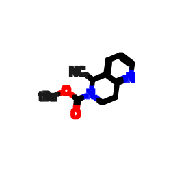 CC(C)(C)OC(=O)N1CCc2ncccc2C1C#N